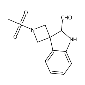 CS(=O)(=O)N1CC2(C1)c1ccccc1NC2C=O